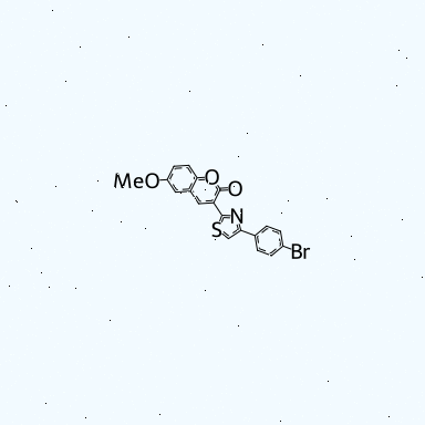 COc1ccc2oc(=O)c(-c3nc(-c4ccc(Br)cc4)cs3)cc2c1